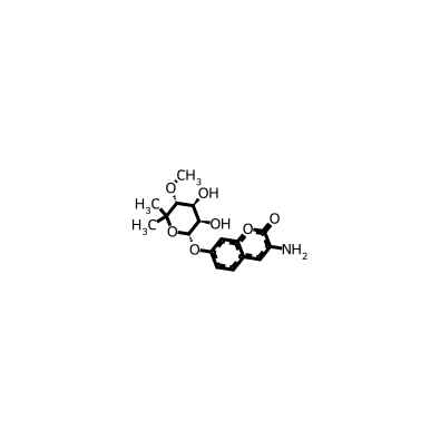 CO[C@@H]1[C@@H](O)[C@@H](O)[C@H](Oc2ccc3cc(N)c(=O)oc3c2)OC1(C)C